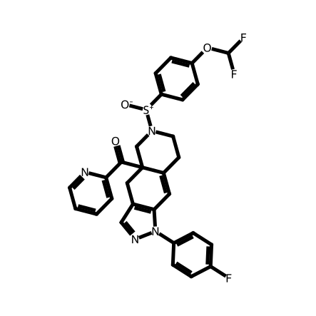 O=C(c1ccccn1)C12Cc3cnn(-c4ccc(F)cc4)c3C=C1CCN([S+]([O-])c1ccc(OC(F)F)cc1)C2